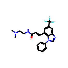 CN(C)CCNC(=O)C=Cc1cc(C(F)(F)F)cc2ncn(-c3ccccc3)c12